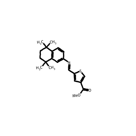 COC(=O)c1csc(C=Nc2ccc3c(c2)C(C)(C)CCC3(C)C)c1